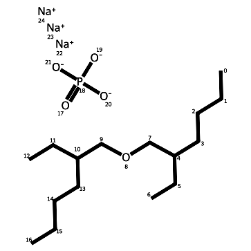 CCCCC(CC)COCC(CC)CCCC.O=P([O-])([O-])[O-].[Na+].[Na+].[Na+]